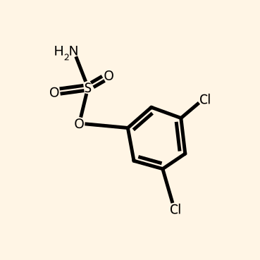 NS(=O)(=O)Oc1cc(Cl)cc(Cl)c1